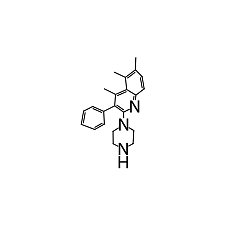 Cc1ccc2nc(N3CCNCC3)c(-c3ccccc3)c(C)c2c1C